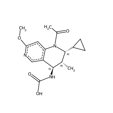 COc1cc2c(cn1)[C@H](NC(=O)O)[C@@H](C)[C@@H](C1CC1)N2C(C)=O